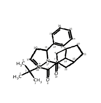 CC(C)(C)OC(=O)N1CC2CCC(C1)C2C(=O)N1N=CCC1c1ccccc1